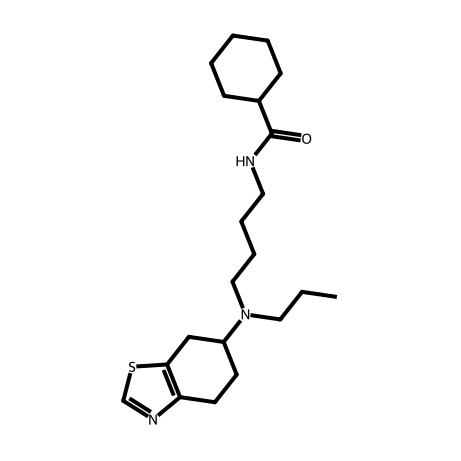 CCCN(CCCCNC(=O)C1CCCCC1)C1CCc2ncsc2C1